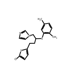 Cc1ccc(C)c(SC(CCc2ccc(Cl)s2)Cn2ccnc2)c1